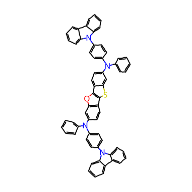 c1ccc(N(c2ccc(-n3c4ccccc4c4ccccc43)cc2)c2ccc3c(c2)oc2c4ccc(N(c5ccccc5)c5ccc(-n6c7ccccc7c7ccccc76)cc5)cc4sc32)cc1